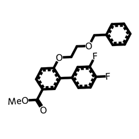 COC(=O)c1ccc(OCCOCc2ccccc2)c(-c2ccc(F)c(F)c2)c1